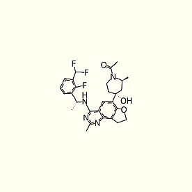 CC(=O)N1CC[C@](O)(c2cc3c(N[C@H](C)c4cccc(C(F)F)c4F)nc(C)nc3c3c2OCC3)C[C@@H]1C